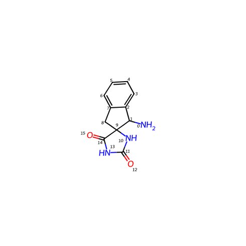 NC1c2ccccc2CC12NC(=O)NC2=O